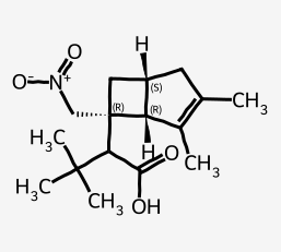 CC1=C(C)[C@H]2[C@@H](C1)C[C@]2(C[N+](=O)[O-])C(C(=O)O)C(C)(C)C